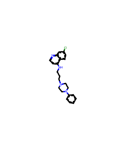 Clc1ccc2c(NCCCN3CCN(c4ccccc4)CC3)ccnc2c1